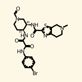 CN1CCc2nc(C(=O)N[C@@H]3CN(C=O)CC[C@@H]3NC(=O)C(=O)Nc3ccc(Br)cc3)sc2C1